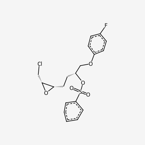 O=S(=O)(O[C@H](CC[C@@H]1O[C@@H]1CCl)COc1ccc(F)cc1)c1ccccc1